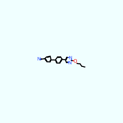 CCCCOc1ncc(-c2ccc(-c3ccc(C#N)cc3)cc2)cn1